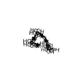 Cn1cc(CO[C@H]2O[C@H](Cn3cc(CO[C@H]4O[C@H](Cn5cc(COCc6cn(C[C@H]7O[C@@](CCl)(OC8O[C@H](CO)[C@H](Cl)[C@H](O)C8O)[C@@H](O)[C@@H]7O)nn6)nn5)[C@@H](O)[C@H](O)[C@@H]4O)nn3)[C@@H](O)[C@H](O)[C@@H]2O)nn1